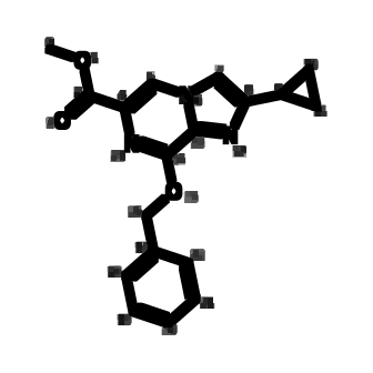 COC(=O)c1cn2cc(C3CC3)nc2c(OCc2ccccc2)n1